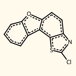 Clc1nc2ccc3oc4ccccc4c3c2s1